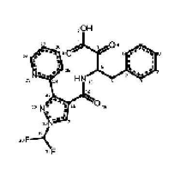 O=C(O)C(=O)C(Cc1ccccc1)NC(=O)c1cn(C(F)F)nc1-c1ccccn1